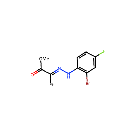 CC/C(=N\Nc1ccc(F)cc1Br)C(=O)OC